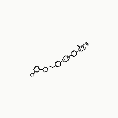 C=C1N(c2ccc(N3CCN(c4ccc(CC[C@@H]5CCC(c6cccc(Cl)c6)C5)cc4)CC3)cc2)C=NN1C(C)CC